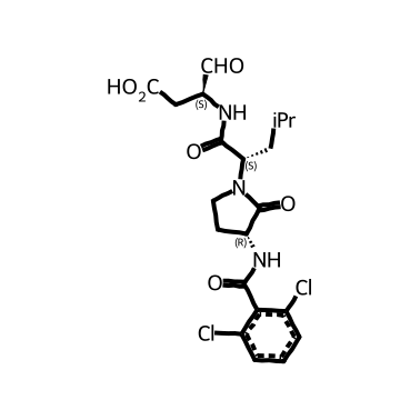 CC(C)C[C@@H](C(=O)N[C@H](C=O)CC(=O)O)N1CC[C@@H](NC(=O)c2c(Cl)cccc2Cl)C1=O